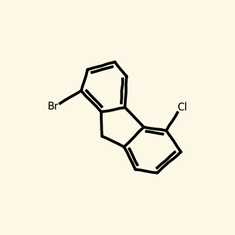 Clc1cccc2c1-c1cccc(Br)c1C2